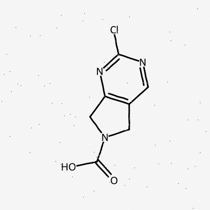 O=C(O)N1Cc2cnc(Cl)nc2C1